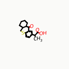 CC(C(=O)O)c1ccc2c(c1)C(=O)C1CCCCC1CS2